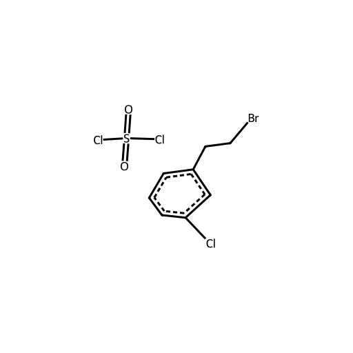 Clc1cccc(CCBr)c1.O=S(=O)(Cl)Cl